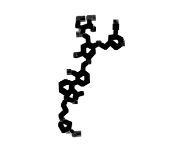 Cc1nn(CCCN2CC[C@@H](O)C2)c2cccc(-c3cccc(COc4cc(OCc5cncc(C#N)c5)c(CN[C@@H](CO)C(=O)O)cc4Cl)c3Br)c12